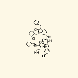 CNCC[C@H](NC(=O)[C@H](Cc1ccc(Cl)cc1)NC(=O)Nc1ccc2c(CN3CCCC3)nn(Cc3c(Cl)cccc3Cl)c2c1)C(=O)NCc1ccccc1